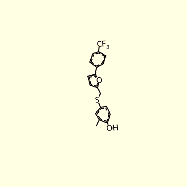 Cc1cc(SCc2ccc(-c3ccc(C(F)(F)F)cc3)o2)ccc1O